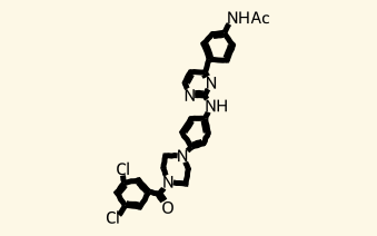 CC(=O)Nc1ccc(-c2ccnc(Nc3ccc(N4CCN(C(=O)c5cc(Cl)cc(Cl)c5)CC4)cc3)n2)cc1